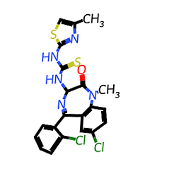 Cc1csc(NC(=S)NC2N=C(c3ccccc3Cl)c3cc(Cl)ccc3N(C)C2=O)n1